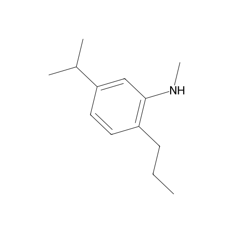 CCCc1ccc(C(C)C)cc1NC